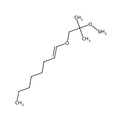 CCCCCCC=COCC(C)(C)O[SiH3]